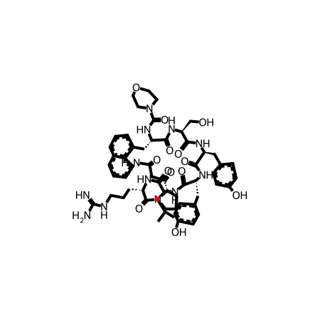 CC(C)C[C@H](NC(=O)[C@@H](Cc1ccc(O)cc1)NC(=O)[C@H](Cc1ccc(O)cc1)NC(=O)[C@H](CO)NC(=O)[C@H](Cc1cccc2ccccc12)NC(=O)N1CCOCC1)C(=O)N[C@@H](CCCNC(=N)N)C(=O)N1CCC[C@H]1C(=O)CC(N)=O